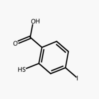 O=C(O)c1ccc(I)cc1S